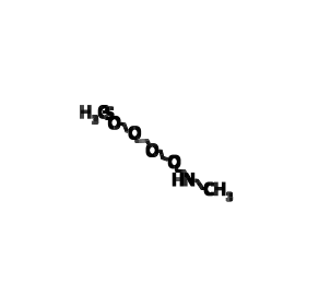 CCCNCCOCCOCCOCCOSC